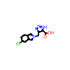 O=C(O)c1[nH]nnc1Cn1cc2ccc(Cl)cc2c1